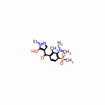 CCn1ncc(C(=O)c2ccc(S(C)(=O)=O)c(N(C)C)c2C)c1O